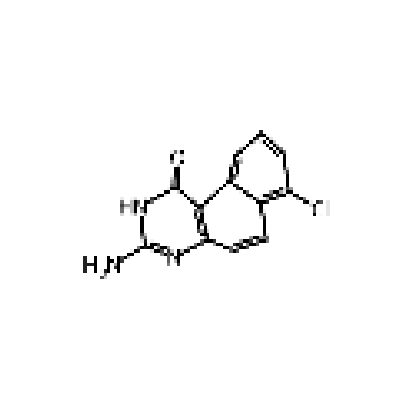 Nc1nc2ccc3c(Cl)cccc3c2c(=O)[nH]1